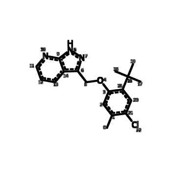 Cc1cc(OCc2n[nH]c3ncccc23)c(C(C)(C)C)cc1Cl